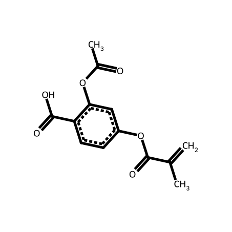 C=C(C)C(=O)Oc1ccc(C(=O)O)c(OC(C)=O)c1